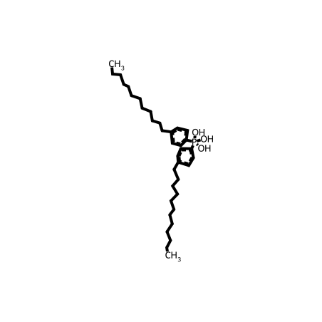 CCCCCCCCCCCCc1ccc(P(O)(O)(O)c2ccc(CCCCCCCCCCCC)cc2)cc1